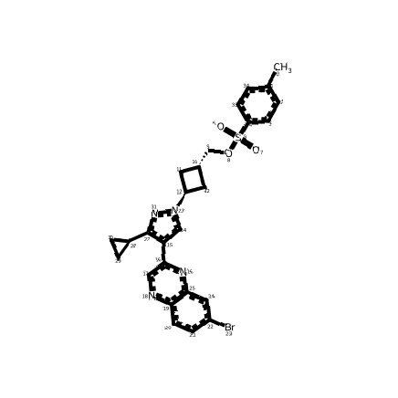 Cc1ccc(S(=O)(=O)OC[C@H]2C[C@H](n3cc(-c4cnc5ccc(Br)cc5n4)c(C4CC4)n3)C2)cc1